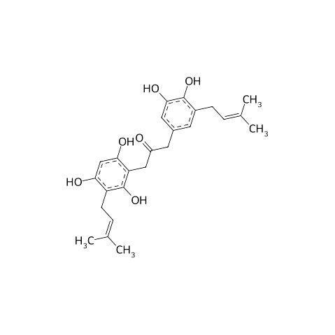 CC(C)=CCc1cc(CC(=O)Cc2c(O)cc(O)c(CC=C(C)C)c2O)cc(O)c1O